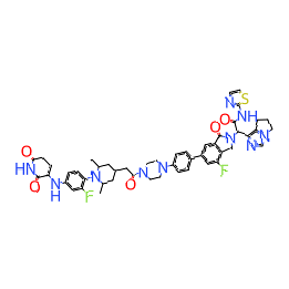 CC1CC(CC(=O)N2CCN(c3ccc(-c4cc(F)c5c(c4)C(=O)N(C(C(=O)Nc4nccs4)c4ncn6c4CCC6)C5)cc3)CC2)CC(C)N1c1ccc(NC2CCC(=O)NC2=O)cc1F